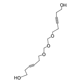 OCCC#CCCOCOCOCCC#CCCO